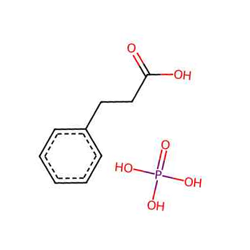 O=C(O)CCc1ccccc1.O=P(O)(O)O